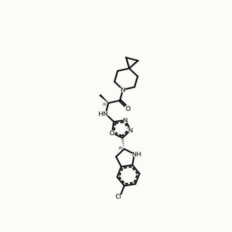 C[C@H](Nc1nnc([C@H]2Cc3cc(Cl)ccc3N2)o1)C(=O)N1CCC2(CC1)CC2